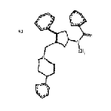 CN(C(=O)c1ccccc1)C1CC(CN2CCC(c3ccccc3)CC2)C(c2ccccc2)C1.Cl